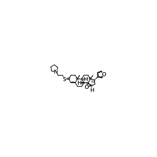 C[C@]12CC[C@H](SCCN3CCCC3)C=C1CC[C@@H]1[C@@H]2CC[C@]2(C)[C@@H](c3ccoc3)C[C@H]3O[C@]132